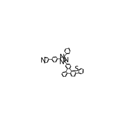 c1ccc(-c2nc(-c3ccc(-c4ccncc4)cc3)nc(-c3ccc4c(c3)c3ccccc3c3ccc5c6ccccc6sc5c34)n2)cc1